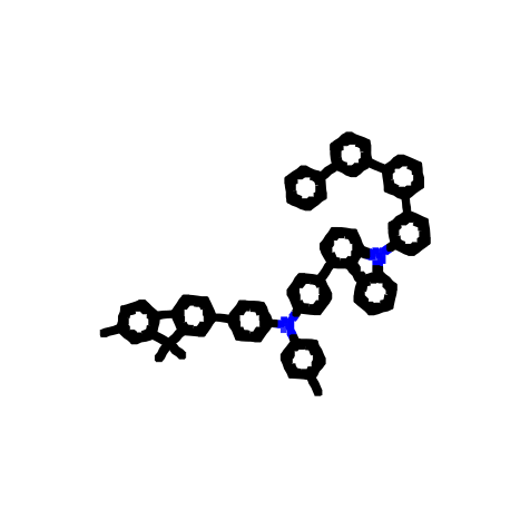 Cc1ccc(N(c2ccc(-c3ccc4c(c3)C(C)(C)c3cc(C)ccc3-4)cc2)c2ccc(-c3cccc4c3c3ccccc3n4-c3cccc(-c4cccc(-c5cccc(-c6ccccc6)c5)c4)c3)cc2)cc1